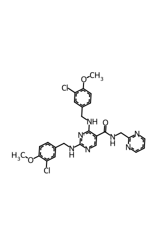 COc1ccc(CNc2ncc(C(=O)NCc3ncccn3)c(NCc3ccc(OC)c(Cl)c3)n2)cc1Cl